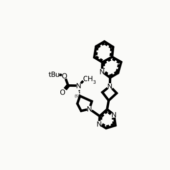 CN(C(=O)OC(C)(C)C)[C@H]1CCN(c2nccnc2C2CN(c3ccc4ccccc4n3)C2)C1